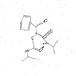 CC(C)NC(=O)ON(C(=O)NC(C)C)C(=O)c1ccccc1